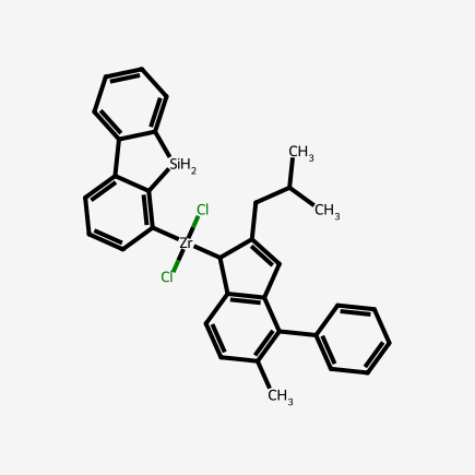 Cc1ccc2c(c1-c1ccccc1)C=C(CC(C)C)[CH]2[Zr]([Cl])([Cl])[c]1cccc2c1[SiH2]c1ccccc1-2